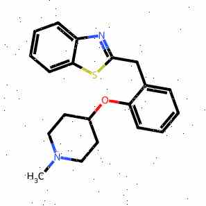 CN1CCC(Oc2ccccc2Cc2nc3ccccc3s2)CC1